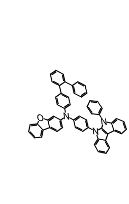 c1ccc(-c2ccccc2-c2ccc(N(c3ccc(-n4c5ccccc5c5c6ccccc6n(-c6ccccc6)c54)cc3)c3ccc4c(c3)oc3ccccc34)cc2)cc1